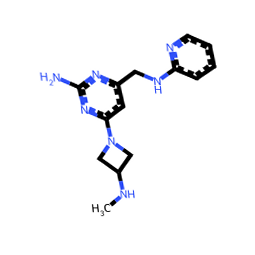 CNC1CN(c2cc(CNc3ccccn3)nc(N)n2)C1